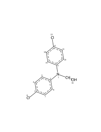 CN(c1ccc(Cl)cc1)c1ccc(Cl)cc1.Cl